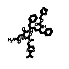 CC(C)c1nc(CN(C)C(=O)NC(CC(N)=O)C(=O)NC(CCC(Cc2ccccc2)NC(=O)OCc2cncs2)Cc2ccccc2)cs1